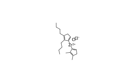 CCCCC1=C(CCCC)[C]([Zr+2][C]2=CCC(C)=C2C)=CC1.[Cl-].[Cl-]